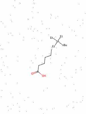 CCCCCC(=O)O.CCC[CH2][Sn]([CH2]C)([CH2]C)[CH2]C